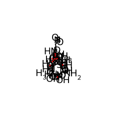 CC[C@H](C)[C@@H]1NC(=O)CNC(=O)[C@H]2Cc3c([nH]c4c(CN5CCC(NC(=O)CCCCCN6C(=O)C=CC6=O)CC5)c(O)ccc34)SC[C@H](NC(=O)CNC1=O)C(=O)N[C@@H](CC(N)=O)C(=O)N1C[C@H](O)C[C@H]1C(=O)N[C@@H]([C@@H](C)[C@@H](O)CO)C(=O)N2